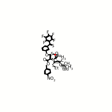 CCS[C@@H]1[C@@H]([C@@H](C)O[Si](C)(C)C(C)(C)C)C(=O)N1C(C(=O)OCc1ccc([N+](=O)[O-])cc1)=C(Oc1cccc(C(=S)c2c(F)c(F)c(F)c(F)c2F)c1)SC(=O)C(C)(C)C